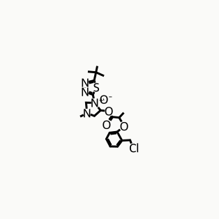 CC(Oc1ccccc1CCl)C(=O)OC1CN(C)C[N+]1([O-])c1nnc(C(C)(C)C)s1